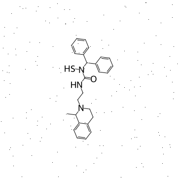 CC1c2ccccc2CCN1CCNC(=O)N(S)C(c1ccccc1)c1ccccc1